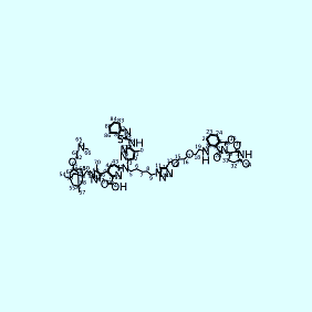 Cc1cc(N(CCCCCn2cc(COCCOCCNc3cccc4c3C(=O)N(C3CCC(=O)NC3=O)C4=O)nn2)c2ccc(-c3cnn(CC45CC6(C)CC(C)(C4)CC(OCCN(C)C)(C6)C5)c3C)c(C(=O)O)n2)nnc1Nc1nc2ccccc2s1